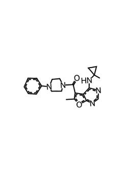 Cc1oc2ncnc(NC3(C)CC3)c2c1C(=O)N1CCN(c2ccccc2)CC1